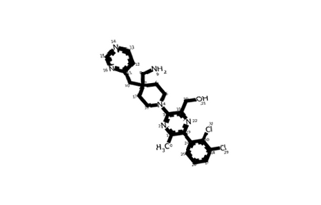 Cc1nc(N2CCC(CN)(Cc3ccncn3)CC2)c(CO)nc1-c1cccc(Cl)c1Cl